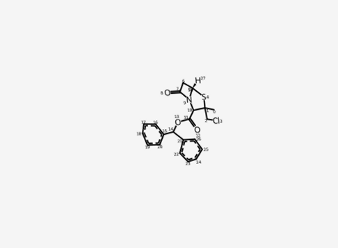 CC1(CCl)S[C@H]2CC(=O)N2C1C(=O)OC(c1ccccc1)c1ccccc1